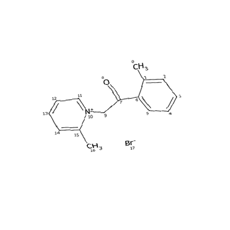 Cc1ccccc1C(=O)C[n+]1ccccc1C.[Br-]